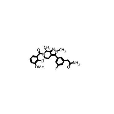 COc1cccc(C(=O)N2CCc3c(nn(C)c3-c3cc(F)cc(CC(N)=O)c3)[C@@H]2C)c1Cl